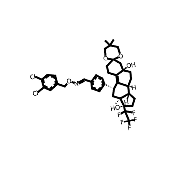 CC1(C)COC2(CCC3=C4[C@@H](CC[C@@]3(O)C2)[C@@H]2CC[C@@](O)(C(F)(F)C(F)(F)F)[C@@]2(C)C[C@@H]4c2ccc(/C=N/OCc3ccc(Cl)c(Cl)c3)cc2)OC1